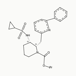 CC(C)OC(=O)N1CCC[C@H](NS(=O)(=O)C2CC2)[C@@H]1Cc1cccc(-c2ccccc2)n1